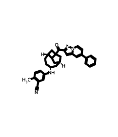 Cc1ccc(N[C@@H]2CC[C@@H]3CC4(C(=O)c5cc6cc(-c7ccccc7)ccn6n5)C[C@H](CC34)C2)cc1C#N